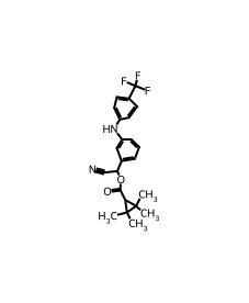 CC1(C)C(C(=O)OC(C#N)c2cccc(Nc3ccc(C(F)(F)F)cc3)c2)C1(C)C